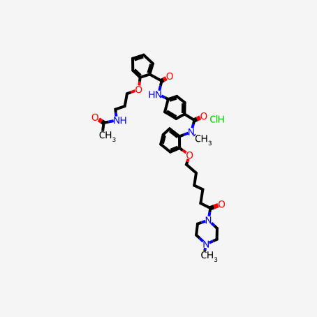 CC(=O)NCCCOc1ccccc1C(=O)Nc1ccc(C(=O)N(C)c2ccccc2OCCCCCC(=O)N2CCN(C)CC2)cc1.Cl